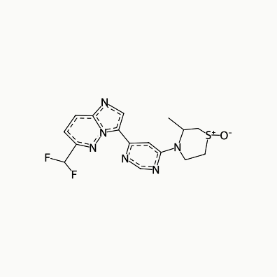 CC1C[S+]([O-])CCN1c1cc(-c2cnc3ccc(C(F)F)nn23)ncn1